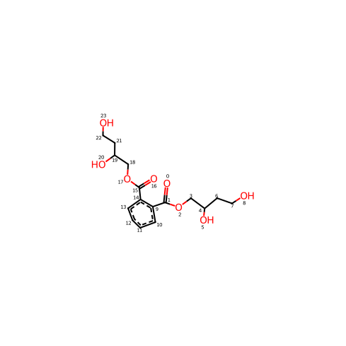 O=C(OCC(O)CCO)c1ccccc1C(=O)OCC(O)CCO